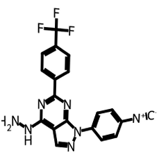 [C-]#[N+]c1ccc(-n2ncc3c(NN)nc(-c4ccc(C(F)(F)F)cc4)nc32)cc1